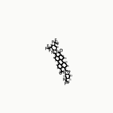 O=c1c2ccc3c4ccc5c6n(c(=O)c7ccc(c8ccc(c9n1C1C=C(C(F)(F)F)C=CC1N=9)c2c83)c4c75)C1C=C(C(F)(F)F)C=C(C(F)(F)F)C1N=6